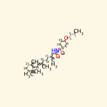 CCCCOc1ccc(C(=O)NC(=O)/C=C(C)/C=C/C=C(C)/C=C/C2=C(C)CCCC2(C)C)cc1